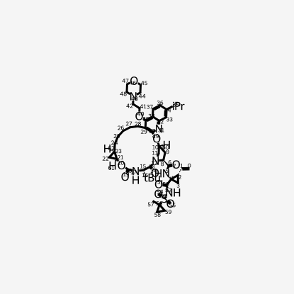 C=C[C@@H]1C[C@]1(NC(=O)[C@@H]1C[C@@H]2CN1C(=O)[C@H](C(C)(C)C)NC(=O)O[C@@H]1C[C@H]1CCCCCc1c(nc3cc(C(C)C)ccc3c1OCCN1CCOCC1)O2)C(=O)NS(=O)(=O)C1(C)CC1